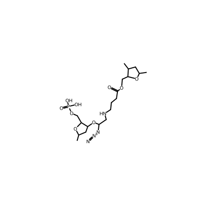 CC1CC(C)C(COC(=O)CCCNCC(N=[N+]=[N-])OC2CC(C)OC2COP(=O)(O)O)O1